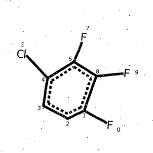 Fc1c[c]c(Cl)c(F)c1F